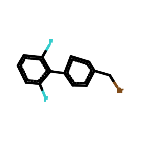 Fc1cccc(F)c1-c1ccc(CBr)cc1